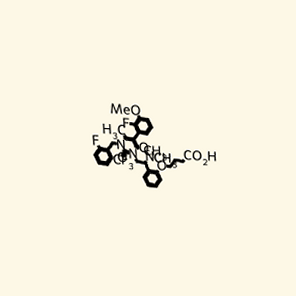 COc1cccc(-c2c(C)n(Cc3c(F)cccc3C(F)(F)F)c(=O)n(CC(c3ccccc3OCCCC(=O)O)N(C)C)c2=O)c1F